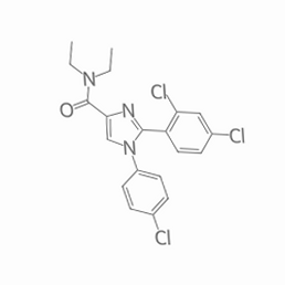 CCN(CC)C(=O)c1cn(-c2ccc(Cl)cc2)c(-c2ccc(Cl)cc2Cl)n1